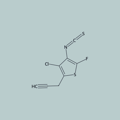 C#CCc1sc(F)c(N=C=S)c1Cl